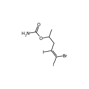 CC(C/C(I)=C(\Br)I)OC(N)=O